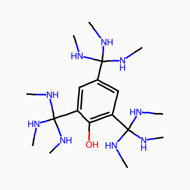 CNC(NC)(NC)c1cc(C(NC)(NC)NC)c(O)c(C(NC)(NC)NC)c1